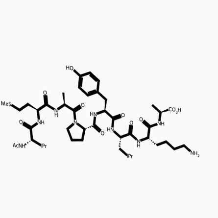 CSCC[C@H](NC(=O)[C@@H](NC(C)=O)C(C)C)C(=O)N[C@@H](C)C(=O)N1CCC[C@H]1C(=O)N[C@@H](Cc1ccc(O)cc1)C(=O)N[C@@H](CC(C)C)C(=O)N[C@@H](CCCCN)C(=O)N[C@@H](C)C(=O)O